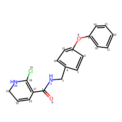 O=C(NCc1ccc(Oc2ccccc2)cc1)C1=C(Cl)NCC=C1